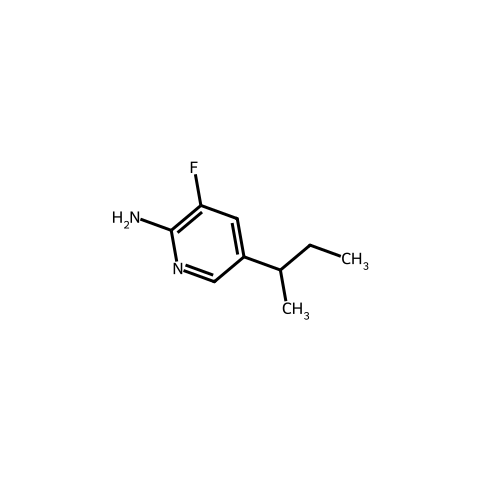 CCC(C)c1cnc(N)c(F)c1